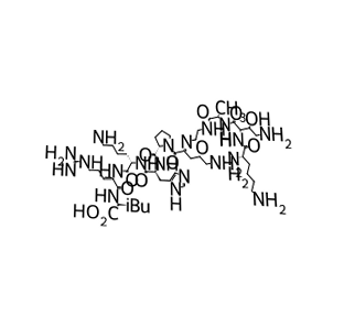 CC[C@H](C)[C@H](NC(=O)/C(=C/CCNC(=N)N)NC(=O)[C@H](CCCCN)NC(=O)[C@H](Cc1cnc[nH]1)NC(=O)[C@@H]1CCCN1C(=O)/C(CCCN)=N/C(=O)CNC(=O)[C@H](C)NC(=O)[C@@H](NC(=O)[C@@H](N)CCCCN)[C@@H](O)CN)C(=O)O